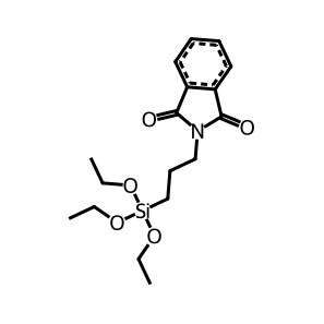 CCO[Si](CCCN1C(=O)c2ccccc2C1=O)(OCC)OCC